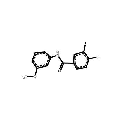 O=C(Nc1cccc(OC(F)(F)F)c1)c1ccc(Cl)c(I)c1